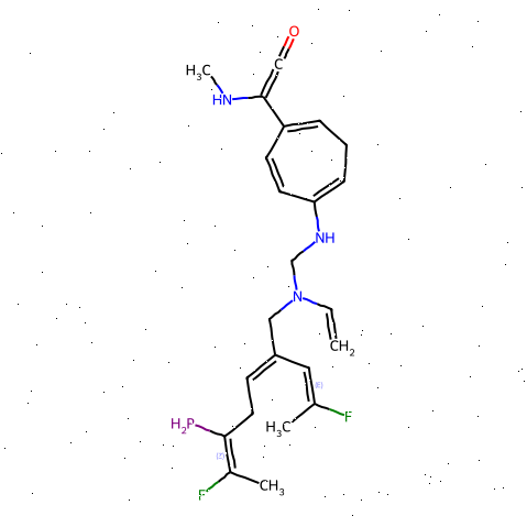 C=CN(CNC1=CCC=C(C(=C=O)NC)C=C1)CC(=CC/C(P)=C(\C)F)/C=C(\C)F